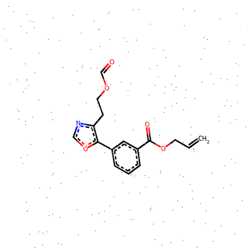 C=CCOC(=O)c1cccc(-c2ocnc2CCOC=O)c1